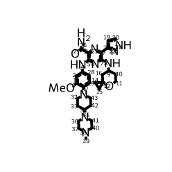 COc1cc(Nc2nc(NC3CCOC4(CC4)C3)c(-c3cc[nH]n3)nc2C(N)=O)ccc1N1CCC(N2CCN(C)CC2)CC1